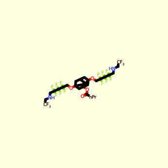 CCCC(=O)OC12CC3CC(OCC(F)(F)C(F)(F)C(F)(F)CNCC(F)(F)F)(CC(OCC(F)(F)C(F)(F)C(F)(F)CNCC(F)(F)F)(C3)C1)C2